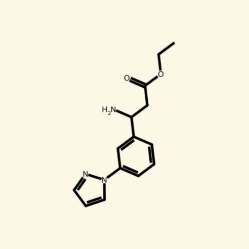 CCOC(=O)CC(N)c1cccc(-n2cccn2)c1